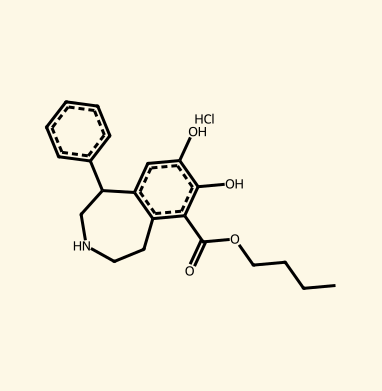 CCCCOC(=O)c1c(O)c(O)cc2c1CCNCC2c1ccccc1.Cl